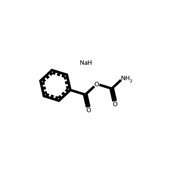 NC(=O)OC(=O)c1ccccc1.[NaH]